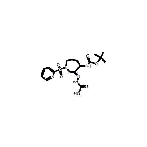 CC(C)(C)OC(=O)NC1CCCN(S(=O)(=O)c2ccccn2)C/C1=N\NC(=O)O